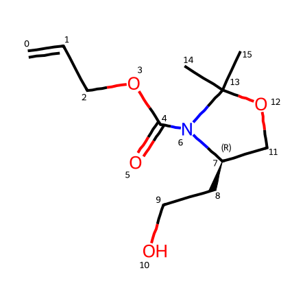 C=CCOC(=O)N1[C@H](CCO)COC1(C)C